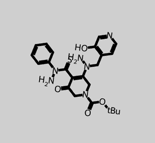 CC(C)(C)OC(=O)N1CC(=O)C(C(=S)N(N)c2ccccc2)=C(N(N)Cc2ccncc2O)C1